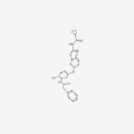 Cc1ccc(Oc2ccc3nc(NC(=O)C4CC4)cn3n2)cc1NC(=O)Cc1ccccn1